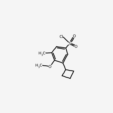 COc1c(C)cc(S(=O)(=O)Cl)cc1C1CCC1